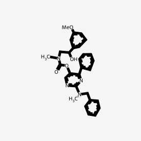 COc1cccc(C(O)CN(C)C(=O)Oc2cnc(N(C)Cc3ccccc3)nc2-c2ccccc2)c1